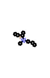 c1ccc(-c2nc(-c3ccc(-c4ccc5ccccc5c4)cc3)nc(-c3cc4ccccc4c4c3sc3cc5ccccc5cc34)n2)cc1